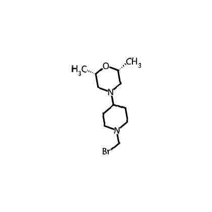 C[C@@H]1CN(C2CCN(CBr)CC2)C[C@H](C)O1